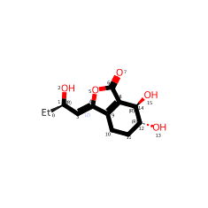 CC[C@@H](O)/C=C1\OC(=O)C2=C1CC[C@@H](O)[C@@H]2O